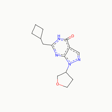 O=c1[nH]c(CC2CCC2)nc2c1cnn2C1CCOC1